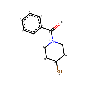 O=C(c1ccccc1)N1CCC(S)CC1